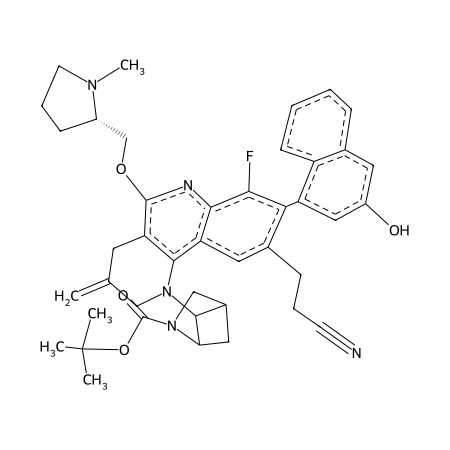 C=C1Cc2c(OC[C@@H]3CCCN3C)nc3c(F)c(-c4cc(O)cc5ccccc45)c(CCC#N)cc3c2N(C2C3CC2N(C(=O)OC(C)(C)C)C3)C1